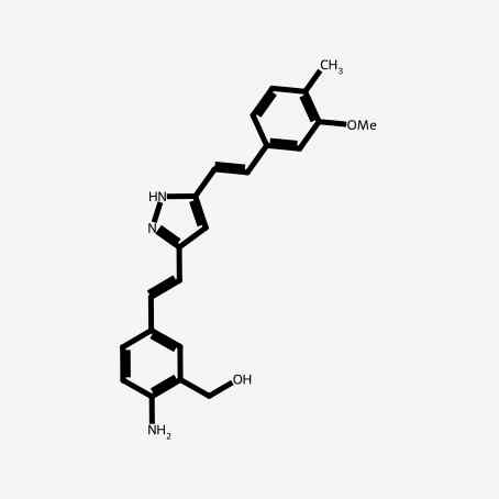 COc1cc(/C=C/c2cc(/C=C/c3ccc(N)c(CO)c3)n[nH]2)ccc1C